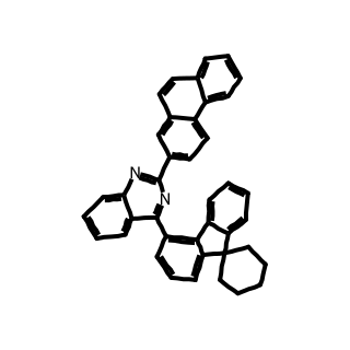 c1ccc2c(c1)-c1c(-c3nc(-c4ccc5c(ccc6ccccc65)c4)nc4ccccc34)cccc1C21CCCCC1